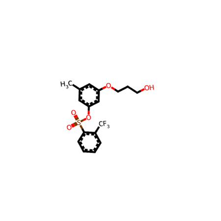 Cc1cc(OCCCO)cc(OS(=O)(=O)c2ccccc2C(F)(F)F)c1